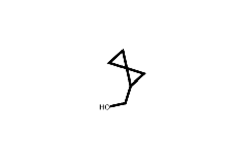 OCC1CC12CC2